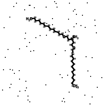 CCCCCCCCCCCCCCOCCN(C)CCOCCCCCCCCCCCCCC